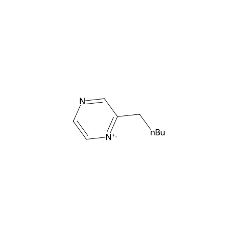 CCCCCC1=[N+]C=CN=C1